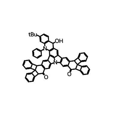 CC(C)(C)c1ccc2c(c1)N(c1ccccc1)c1c(cc3c4cc5c(cc4n4c6cc7c(cc6c1c34)C1c3ccccc3C13c1ccccc1C3C7=O)C(=O)C1c3ccccc3C13c1ccccc1C53)C2O